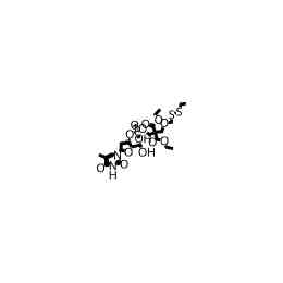 CCOC(=O)C(COCSSCC)(COP(=O)(O)O[C@@H]1C[C@H](n2cc(C)c(=O)[nH]c2=O)OC1CO)C(=O)OCC